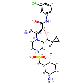 CC1(CO/C(C(=O)Nc2cccc(Cl)c2)=C(/C=N)N2CCN(S(=O)(=O)CC3CC(N)CCC3F)CC2)CC1